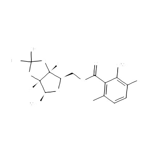 COc1c(Cl)ccc(Cl)c1C(=O)OC[C@H]1O[C@@H](OC)[C@@H]2OC(C)(C)O[C@@H]21